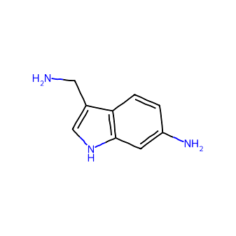 NCc1c[nH]c2cc(N)ccc12